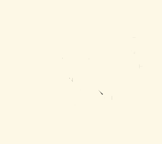 C[C@H](C=CC[Si](C)(C)C)C(=O)N1C(=O)OC[C@H]1Cc1ccccc1